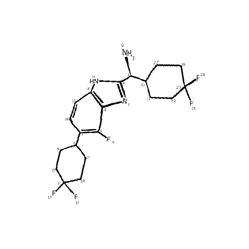 N[C@H](c1nc2c(F)c([C]3CCC(F)(F)CC3)ccc2[nH]1)C1CCC(F)(F)CC1